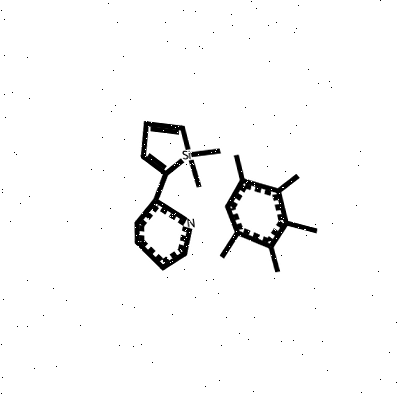 C[Si]1(C)C=CC=C1c1ccccn1.Cc1cc(C)c(C)c(C)c1C